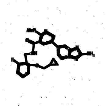 COc1ncc(-c2ccn3nc(N)nc3c2)cc1C(=O)NCc1c(F)cccc1OCC1CC1